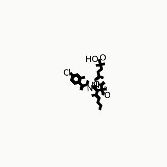 C=C(/C(C)=N/C(N)=C(\C(C)=C\CCC)C(C)(C=O)C(=C)O/C=C(\C)CCC(C)(C)C(=O)O)c1ccc(Cl)cc1C